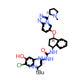 CN1CCC[C@H]1c1nnc2ccc(O[C@@H]3CCC(NC(=O)N/C(=C/C(=N)C(C)(C)C)Nc4ccc(Cl)c(O)c4)c4ccccc43)cn12